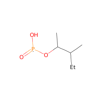 CCC(C)C(C)O[P](=O)O